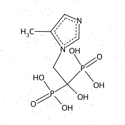 Cc1cncn1CC(O)(P(=O)(O)O)P(=O)(O)O